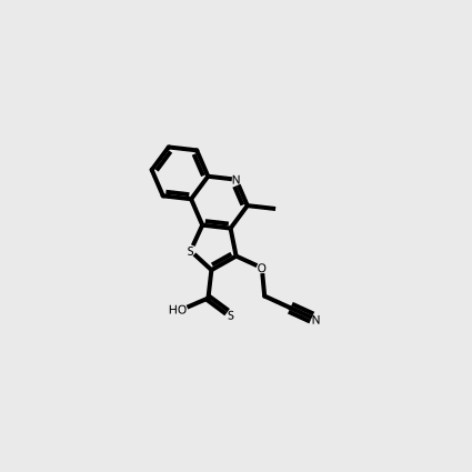 Cc1nc2ccccc2c2sc(C(O)=S)c(OCC#N)c12